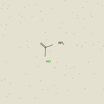 C=C(C)C.Cl.[AlH3]